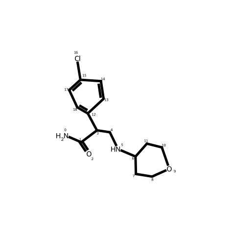 NC(=O)C(CNC1CCOCC1)c1ccc(Cl)cc1